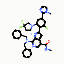 CNC(=O)c1cnc(N(Cc2ccccc2)Cc2ccccc2)c2[nH]c(-c3c(F)cc(-c4nccn4C)cc3N3CCC(F)(F)C3)cc12